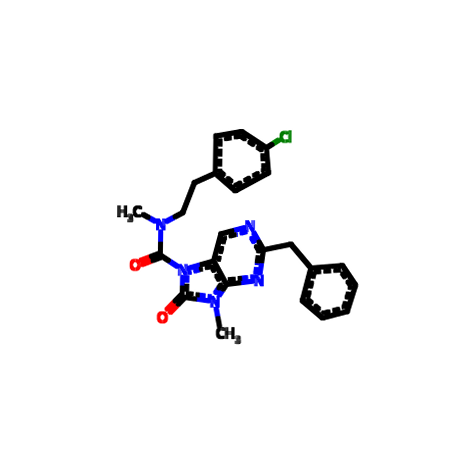 CN(CCc1ccc(Cl)cc1)C(=O)n1c(=O)n(C)c2nc(Cc3ccccc3)ncc21